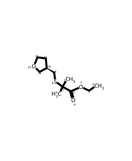 CCOC(=O)C(C)(C)SC[C@@H]1CCOC1